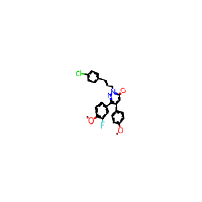 COc1ccc(-c2cc(=O)n(CC=Cc3ccc(Cl)cc3)nc2-c2ccc(OC)c(F)c2)cc1